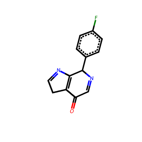 O=C1C=NC(c2ccc(F)cc2)C2=C1CC=N2